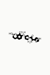 NC(C(=O)N1CC[C@H](Oc2ccc3c(c2C(=O)O)OB(O)CC3)C1)c1c[nH]cn1